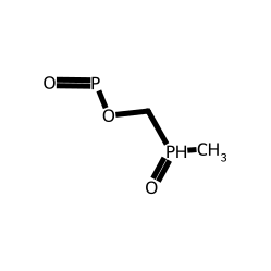 C[PH](=O)COP=O